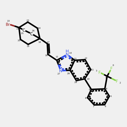 FC(F)(F)c1ccccc1-c1ccc2[nH]c(/C=C/C34CCC(Br)(CC3)CC4)nc2c1